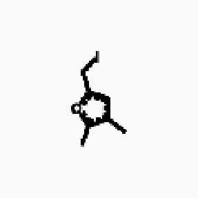 Cc1cc(CI)oc1C